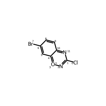 Clc1n[o+]c2cc(Br)ccc2n1